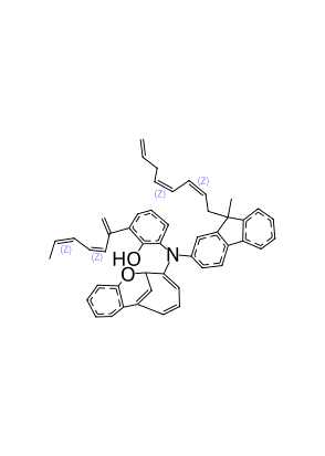 C=CC/C=C\C=C/CC1(C)c2ccccc2-c2ccc(N(C3=CC=CC4=CC3Oc3ccccc34)c3cccc(C(=C)/C=C\C=C/C)c3O)cc21